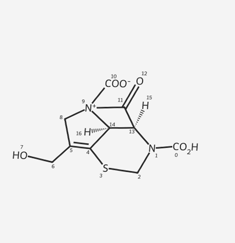 O=C(O)N1CSC2=C(CO)C[N+]3(C(=O)[O-])C(=O)[C@@H]1[C@@H]23